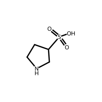 O=S(=O)(O)C1CCNC1